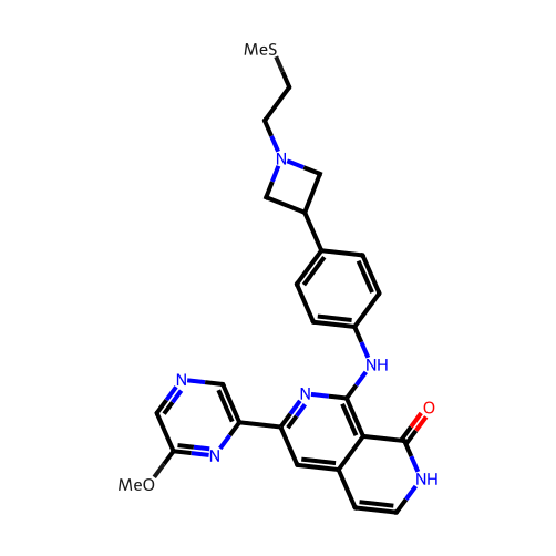 COc1cncc(-c2cc3cc[nH]c(=O)c3c(Nc3ccc(C4CN(CCSC)C4)cc3)n2)n1